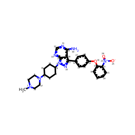 CN1CCN(C2CCC(n3nc(-c4ccc(Oc5ccccc5[N+](=O)[O-])cc4)c4c(N)ncnc43)CC2)CC1